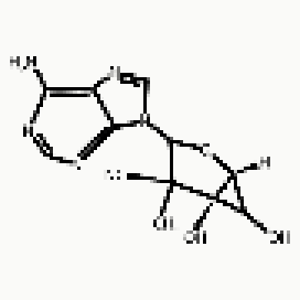 C[C@]1(C#N)C(n2cnc3c(N)ncnc32)O[C@@H]2C(O)[C@@]21O